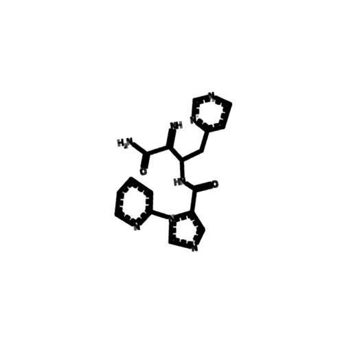 N=C(C(N)=O)C(Cc1ccncn1)NC(=O)c1cncn1-c1ccccn1